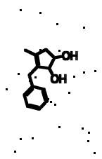 CC1=C(Cc2ccccc2)C(O)C(O)C1